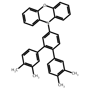 Cc1ccc(-c2ccc(N3c4ccccc4Oc4ccccc43)cc2-c2ccc(C)c(C)c2)cc1C